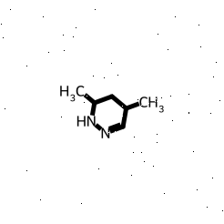 CC1C=NNC(C)C1